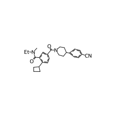 CCN(C)C(=O)c1cc(C(=O)N2CCC(c3ccc(C#N)cc3)CC2)ccc1C1CCC1